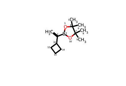 C=C(B1OC(C)(C)C(C)(C)O1)C1CCC1